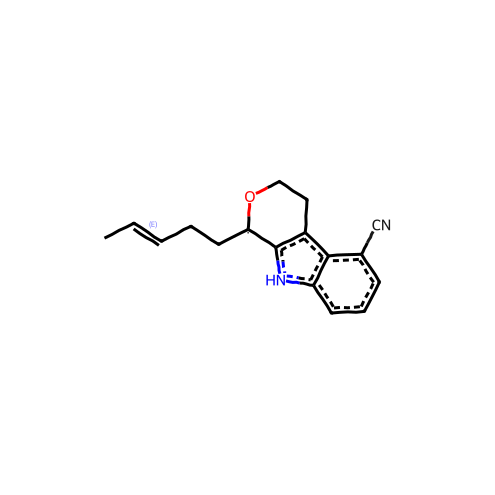 C/C=C/CC[C]1OCCc2c1[nH]c1cccc(C#N)c21